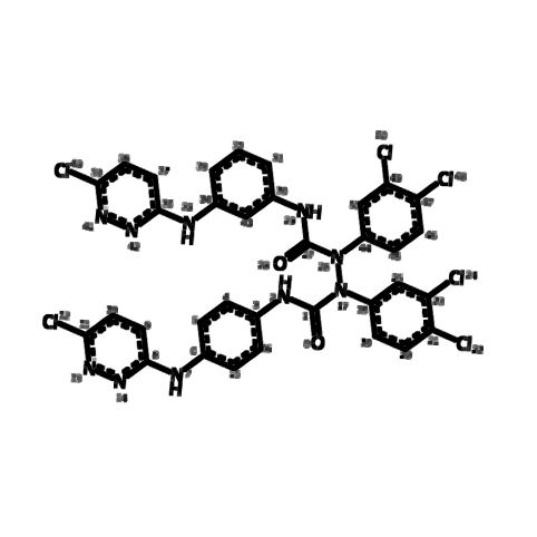 O=C(Nc1ccc(Nc2ccc(Cl)nn2)cc1)N(c1ccc(Cl)c(Cl)c1)N(C(=O)Nc1cccc(Nc2ccc(Cl)nn2)c1)c1ccc(Cl)c(Cl)c1